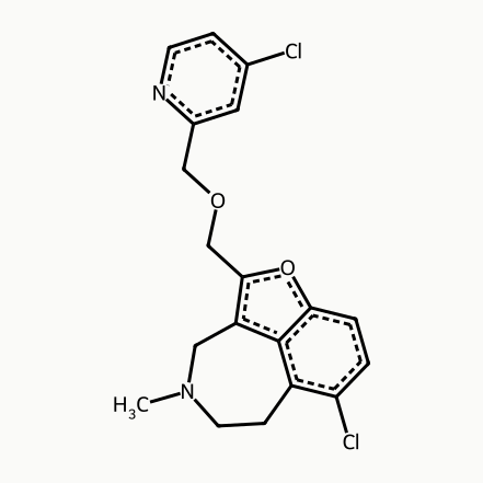 CN1CCc2c(Cl)ccc3oc(COCc4cc(Cl)ccn4)c(c23)C1